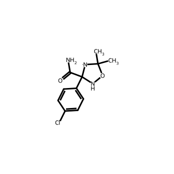 CC1(C)[N]C(C(N)=O)(c2ccc(Cl)cc2)NO1